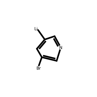 [Li][c]1cncc(Br)c1